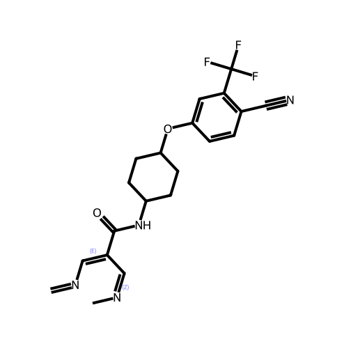 C=N/C=C(\C=N/C)C(=O)NC1CCC(Oc2ccc(C#N)c(C(F)(F)F)c2)CC1